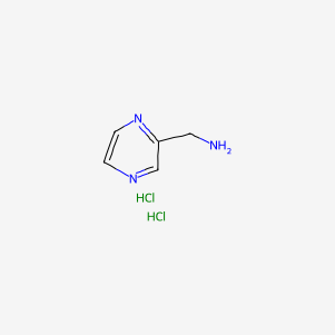 Cl.Cl.NCc1cnccn1